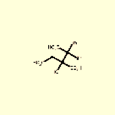 CC(C)C(C(=O)O)(C(C)C)C(O)(CC(=O)O)C(=O)O